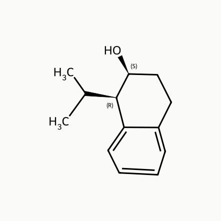 CC(C)[C@@H]1c2ccccc2CC[C@@H]1O